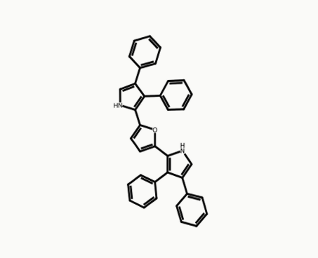 c1ccc(-c2c[nH]c(-c3ccc(-c4[nH]cc(-c5ccccc5)c4-c4ccccc4)o3)c2-c2ccccc2)cc1